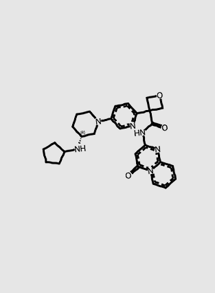 O=C(Nc1cc(=O)n2ccccc2n1)C1(c2ccc(N3CCC[C@@H](NC4CCCC4)C3)cn2)COC1